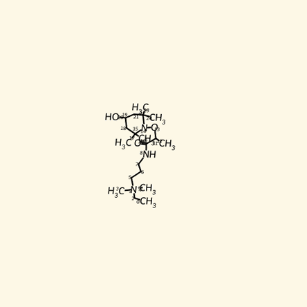 CC[N+](C)(C)CCCNC(=O)C(C)ON1C(C)(C)CC(O)CC1(C)C